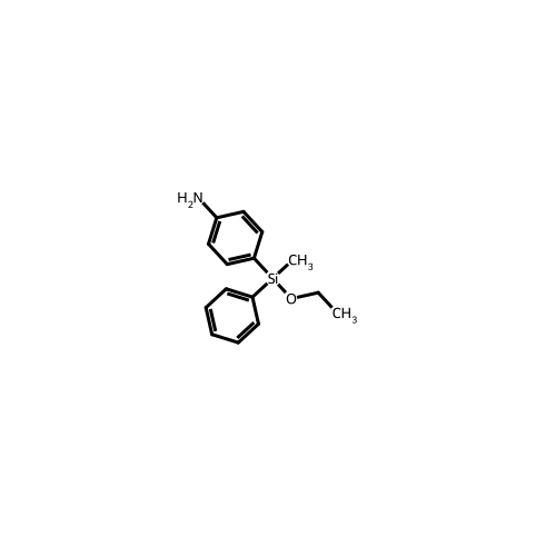 CCO[Si](C)(c1ccccc1)c1ccc(N)cc1